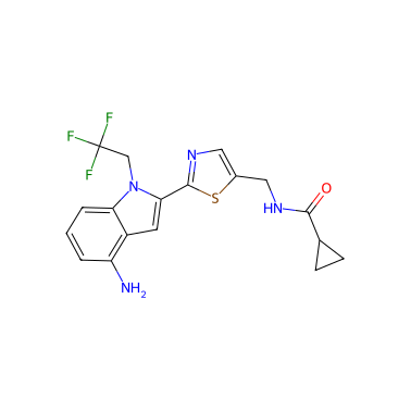 Nc1cccc2c1cc(-c1ncc(CNC(=O)C3CC3)s1)n2CC(F)(F)F